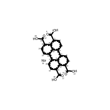 O=C(O)c1ccc2c3ccc(C(=O)O)c4c(C(=O)O)ccc(c5ccc(C(=O)O)c1c25)c43.[Na]